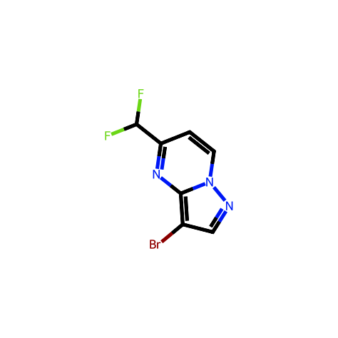 FC(F)c1ccn2ncc(Br)c2n1